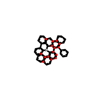 c1ccc(-c2cccc(-c3ccccc3)c2N(c2c(-c3ccccc3)cccc2-c2ccccc2)c2cccc3c2c(-c2ccccc2)c(-c2ccccc2)c2ccccc23)cc1